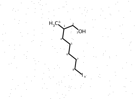 CC(CO)CCCCCI